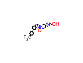 O=C(N1CCC2(CC1)CN(CCO)C2)N1CCc2ccc(-c3ccc(C(F)(F)F)cc3)cc21